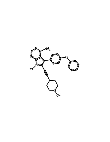 CC(C)n1c(C#CC2CCN(C#N)CC2)c(-c2ccc(Oc3ccccc3)cc2)c2c(N)ncnc21